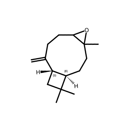 C=C1CCC2OC2(C)CC[C@@H]2[C@@H]1CC2(C)C